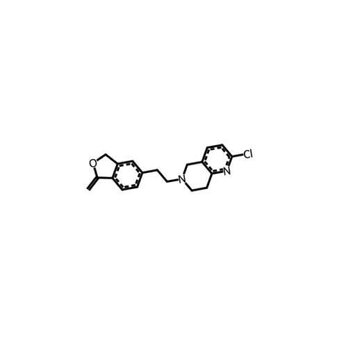 C=C1OCc2cc(CCN3CCc4nc(Cl)ccc4C3)ccc21